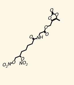 Cc1oc(=O)oc1COC(=O)CNC(=O)CCCCC(CO[N+](=O)[O-])O[N+](=O)[O-]